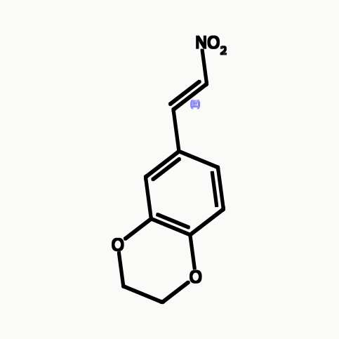 O=[N+]([O-])/C=C/c1ccc2c(c1)OCCO2